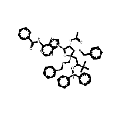 CC(=O)O[C@H]1[C@H](n2cnc3c(NC(=O)c4ccccc4)ncnc32)O[C@@](COCc2ccccc2)(CC(O[SiH](c2ccccc2)c2ccccc2)C(C)(C)C)[C@H]1OCc1ccccc1